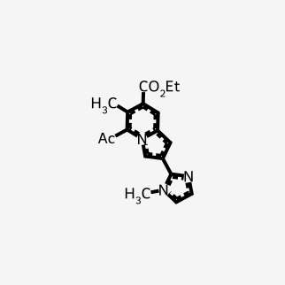 CCOC(=O)c1cc2cc(-c3nccn3C)cn2c(C(C)=O)c1C